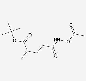 CC(=O)ONC(=O)C[CH]C(C)C(=O)OC(C)(C)C